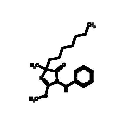 CCCCCCCC1(C)N=C(SC)N(Nc2ccccc2)C1=O